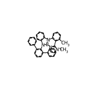 Cc1cccc2c1-c1n(cc[n+]1C)B1N2c2ccccc2N1c1c(-c2ccccc2)cccc1-c1ccccc1